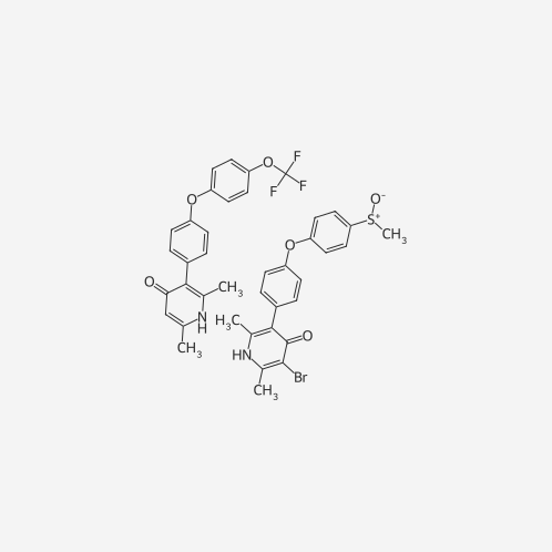 Cc1[nH]c(C)c(-c2ccc(Oc3ccc([S+](C)[O-])cc3)cc2)c(=O)c1Br.Cc1cc(=O)c(-c2ccc(Oc3ccc(OC(F)(F)F)cc3)cc2)c(C)[nH]1